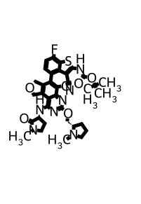 CN1CC[C@@H](Nc2nc(OC[C@@H]3CCCN3C)nc3c(Cl)c(-c4ccc(F)c5sc(NC(=O)OC(C)(C)C)c(C#N)c45)c4c(c23)COC4)C1=O